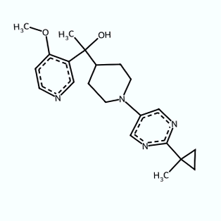 COc1ccncc1C(C)(O)C1CCN(c2cnc(C3(C)CC3)nc2)CC1